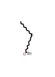 CCCCCCCC/C=C\CCCCCCC[C](=O)[Zn]